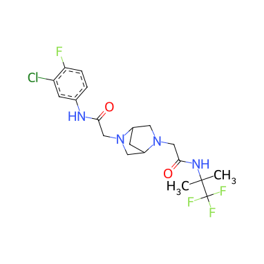 CC(C)(NC(=O)CN1CC2CC1CN2CC(=O)Nc1ccc(F)c(Cl)c1)C(F)(F)F